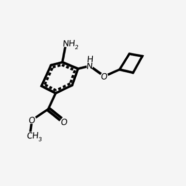 COC(=O)c1ccc(N)c(NOC2CCC2)c1